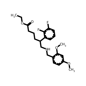 CCOC(=O)CCCC(CNCc1ccc(OC)cc1OC)c1cccc(F)c1F